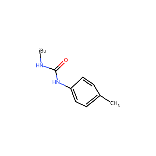 CCC(C)NC(=O)Nc1ccc(C)cc1